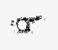 CO[C@H]1C[C@@H]2CC[C@@H](C)[C@@](O)(O2)C(=O)C(=O)N2CCCC[C@H]2C(=O)O[C@H]([C@H](N)C[C@@H]2CC[C@@H](OC(=O)NCc3cnc(C)nc3)[C@H](OC)C2)C[C@@H](OC)[C@H](C)/C=C(\C)[C@@H](O)[C@@H](O)C(=O)C(C)C[C@H](C)/C=C/C=C/C=C/1C